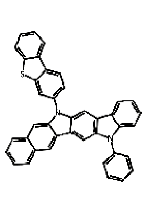 c1ccc(-n2c3ccccc3c3cc4c(cc32)c2cc3ccccc3cc2n4-c2ccc3c(c2)sc2ccccc23)cc1